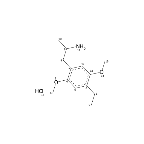 CCc1cc(OC)c(CC(C)N)cc1OC.Cl